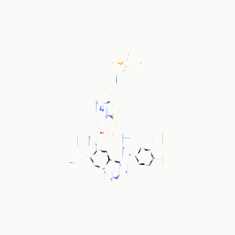 CCOc1cc2ncnc(Nc3ccc(F)c(Cl)c3)c2cc1NC(=O)Cn1nc(SCCCS(C)(=O)=O)sc1=S